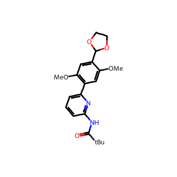 COc1cc(C2OCCO2)c(OC)cc1-c1cccc(NC(=O)C(C)(C)C)n1